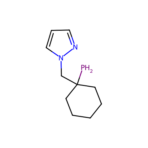 PC1(Cn2cccn2)CCCCC1